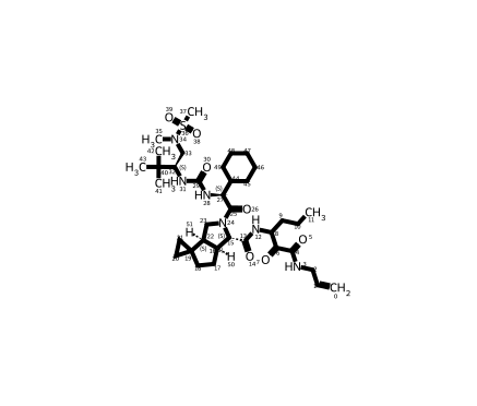 C=CCNC(=O)C(=O)C(CCC)NC(=O)[C@@H]1[C@H]2CCC3(CC3)[C@H]2CN1C(=O)[C@@H](NC(=O)N[C@H](CN(C)S(C)(=O)=O)C(C)(C)C)C1CCCCC1